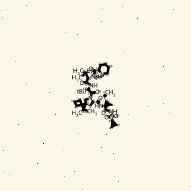 C=C[C@@H]1C[C@]1(NC(=O)[C@@H]1C[C@@]2(CN1C(=O)[C@@H](NC(=O)[C@@H](NC(=O)[C@@H]1CCCCN1C(C)C)C(C)(C)CC)C(C)(C)C)C(C)(C)C21CCC1)C(=O)NS(=O)(=O)C1CC1